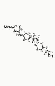 C=N/C(=N\C(=C)NC)Nc1ccc(S(=O)(=O)N(C)C2CCCN(CC(C)(C)O)C2)cc1